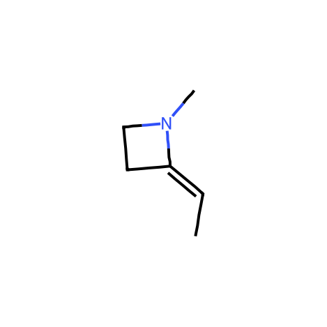 C/C=C1\CCN1C